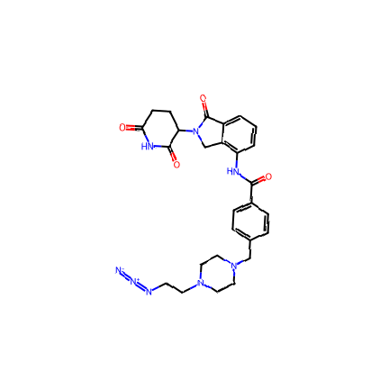 [N-]=[N+]=NCCN1CCN(Cc2ccc(C(=O)Nc3cccc4c3CN(C3CCC(=O)NC3=O)C4=O)cc2)CC1